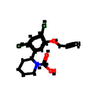 C#CCOc1cc(C2CCCCN2C(=O)O)c(Cl)cc1Cl